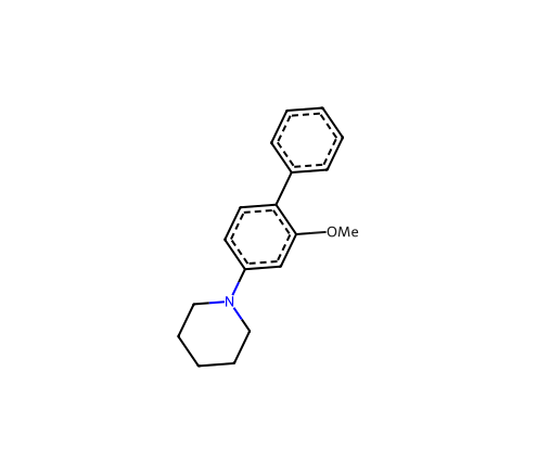 COc1cc(N2CCCCC2)ccc1-c1ccccc1